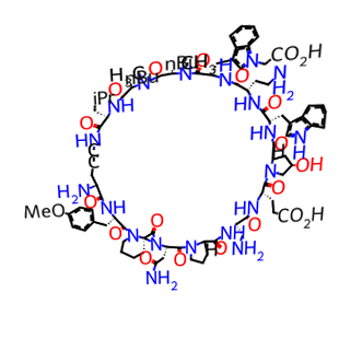 CCCC[C@H]1C(=O)N(C)[C@@H](CCCC)C(=O)N[C@@H](CC(C)C)C(=O)NCCC[C@H](N)C(=O)N[C@@H](Cc2ccc(OC)cc2)C(=O)N2CCCC[C@@]23C(=O)N3[C@@H](CC(N)=O)C(=O)N2CCC[C@H]2C(=O)N[C@@H](CN)C(=O)N[C@@H](CCC(=O)O)C(=O)N2C[C@H](O)C[C@H]2C(=O)N[C@@H](Cc2c[nH]c3ccccc23)C(=O)N[C@@H](CCN)C(=O)N[C@@H](Cc2cn(CC(=O)O)c3ccccc23)C(=O)N1C